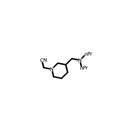 CCCN(CCC)CC1CCCN(CC#N)C1